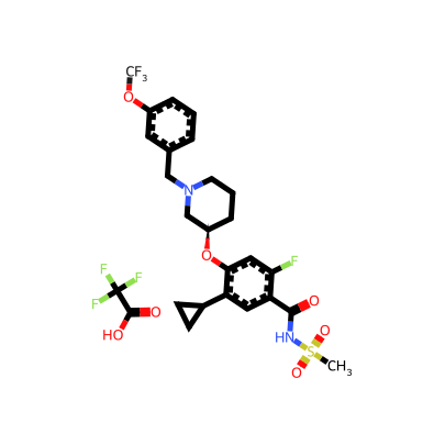 CS(=O)(=O)NC(=O)c1cc(C2CC2)c(O[C@@H]2CCCN(Cc3cccc(OC(F)(F)F)c3)C2)cc1F.O=C(O)C(F)(F)F